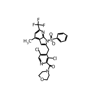 Cc1cc(C(F)(F)F)nc2c1cc(Cc1c(Cl)cnc(C(=O)N3CCOCC3)c1Cl)n2S(=O)(=O)c1ccccc1